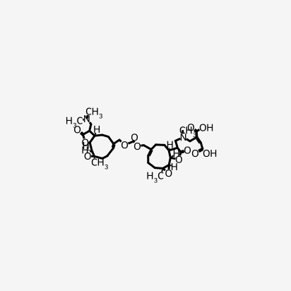 CN(C)CC1C(=O)O[C@H]2[C@H]1CC/C(COC(=O)OC/C1=C/CC[C@@]3(C)O[C@H]3[C@H]3OC(=O)C(CN(C)C/C(=C\C(=O)O)C(=O)O)[C@@H]3CC1)=C\CC[C@@]1(C)O[C@@H]21